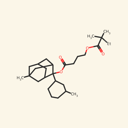 CCC(C)(C)C(=O)OCCCC(=O)OC1(C2CCCC(C)C2)C2CC3CC1CC(C)(C3)C2